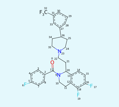 O=C(c1ccc(F)cc1)N1CCc2c(ccc(F)c2F)C1CCN1CCC(c2cccc(C(F)(F)F)c2)CC1